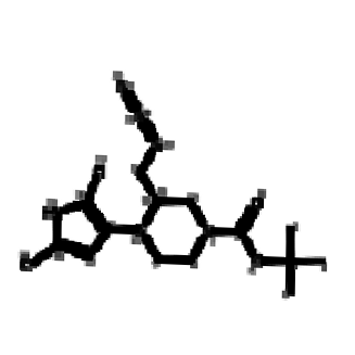 CC(C)(C)OC(=O)N1CCN(c2cc(Cl)[nH]c2Cl)[C@@H](CN=[N+]=[N-])C1